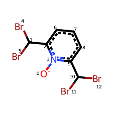 [O-][n+]1c(C(Br)Br)cccc1C(Br)Br